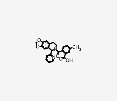 Cc1ccc(C(=O)N2CCc3cc4c(cc3C2c2ccccn2)OCO4)c(C(=O)O)c1